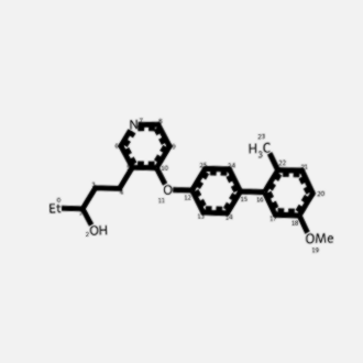 CCC(O)CCc1cnccc1Oc1ccc(-c2cc(OC)ccc2C)cc1